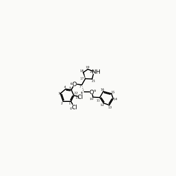 Clc1cccc(O[C@@H](COCc2ccccc2)[C@H]2CCNC2)c1Cl